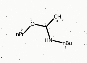 CC[CH]OC(C)NCCCC